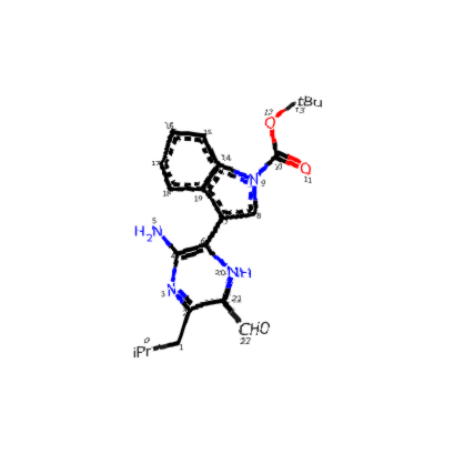 CC(C)CC1=NC(N)=C(c2cn(C(=O)OC(C)(C)C)c3ccccc23)NC1C=O